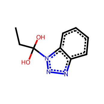 CCC(O)(O)n1nnc2ccccc21